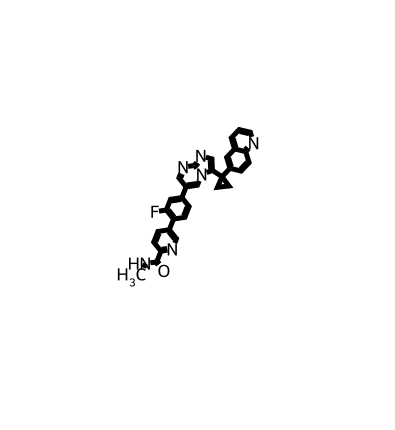 CNC(=O)c1ccc(-c2ccc(-c3cnc4ncc(C5(c6ccc7ncccc7c6)CC5)n4c3)cc2F)cn1